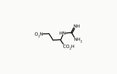 N=C(N)NC(CC[N+](=O)[O-])C(=O)O